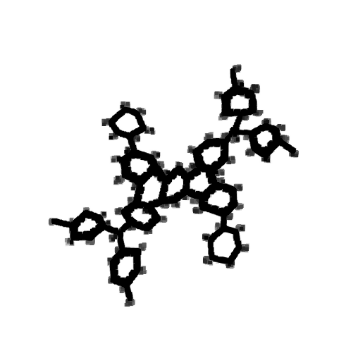 Cc1ccc(N(c2ccc(C)cc2)c2ccc3c(c2)c2ccc(C4CCCCC4)cc2c2cc4c5ccc(N(c6ccc(C)cc6)c6ccc(C)cc6)cc5c5ccc(C6CCCCC6)cc5c4cc32)cc1